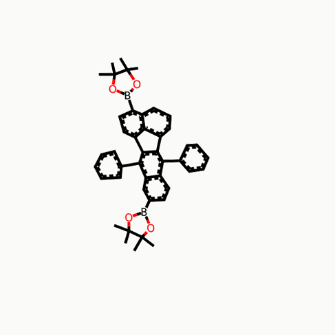 CC1(C)OB(c2ccc3c(-c4ccccc4)c4c(c(-c5ccccc5)c3c2)-c2ccc(B3OC(C)(C)C(C)(C)O3)c3cccc-4c23)OC1(C)C